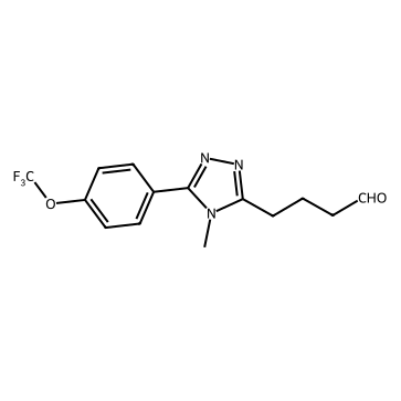 Cn1c(CCCC=O)nnc1-c1ccc(OC(F)(F)F)cc1